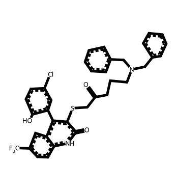 O=C(CCCN(Cc1ccccc1)Cc1ccccc1)CSc1c(-c2cc(Cl)ccc2O)c2cc(C(F)(F)F)ccc2[nH]c1=O